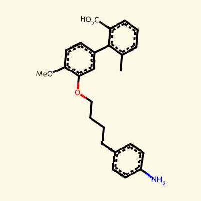 COc1ccc(-c2c(C)cccc2C(=O)O)cc1OCCCCc1ccc(N)cc1